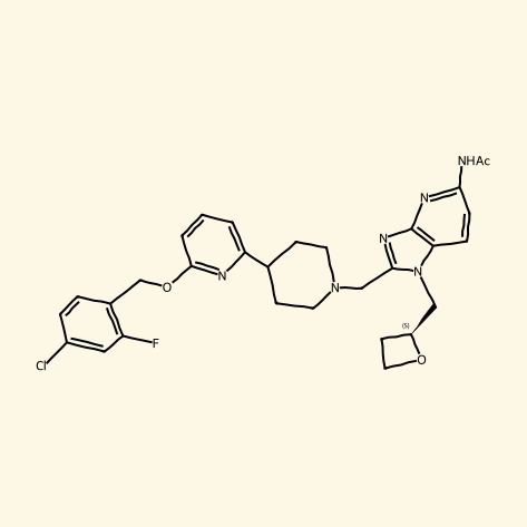 CC(=O)Nc1ccc2c(n1)nc(CN1CCC(c3cccc(OCc4ccc(Cl)cc4F)n3)CC1)n2C[C@@H]1CCO1